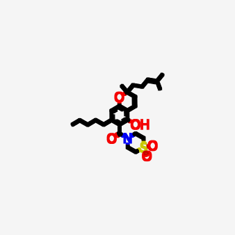 CCCCCc1cc2c(c(O)c1C(=O)N1CCS(=O)(=O)CC1)C=CC(C)(CCC=C(C)C)O2